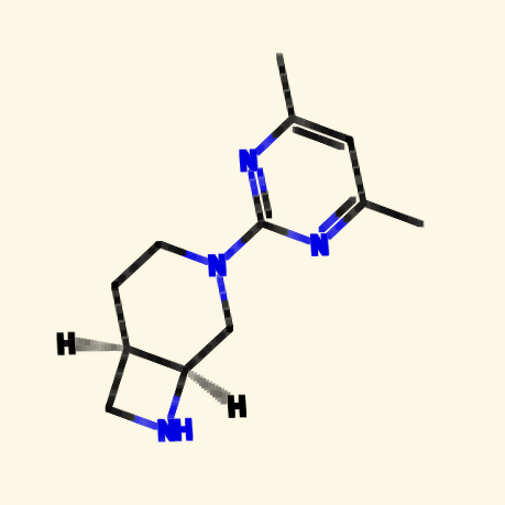 Cc1cc(C)nc(N2CC[C@@H]3CN[C@@H]3C2)n1